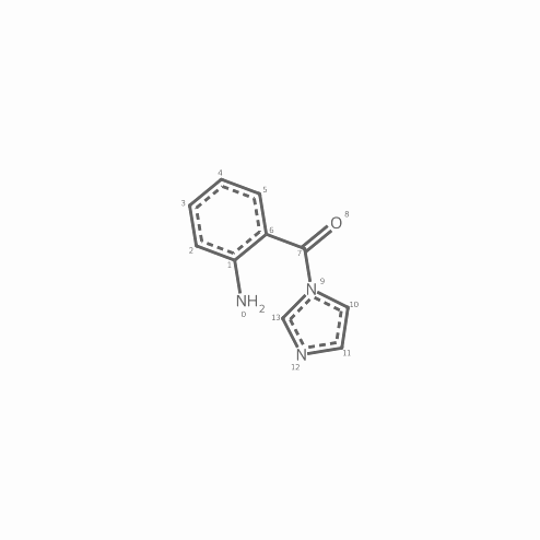 Nc1ccccc1C(=O)n1ccnc1